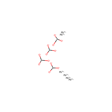 [O-]B([O-])[O-].[O-]B([O-])[O-].[O-]B([O-])[O-].[O-]B([O-])[O-].[Pb+2].[Pb+2].[Pb+2].[Pb+2].[Pb+2].[Pb+2]